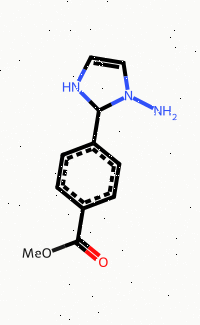 COC(=O)c1ccc(C2NC=CN2N)cc1